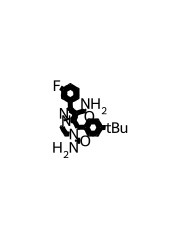 CC(C)(C)c1ccc(C2c3c(C(N)=O)c(-c4cccc(F)c4)nn3CCN2C(N)=O)cc1